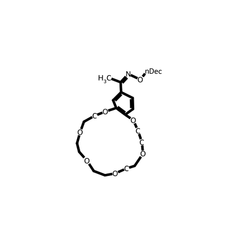 CCCCCCCCCCO/N=C(/C)c1ccc2c(c1)OCCOCCOCCOCCOCCO2